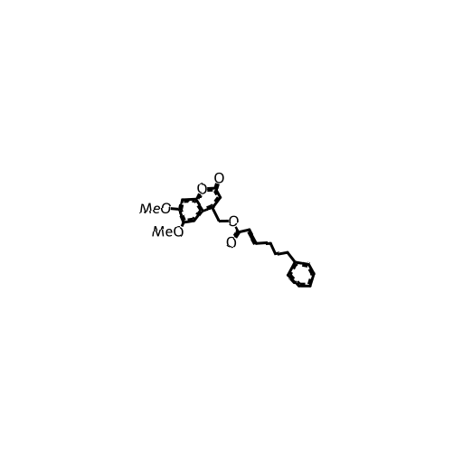 COc1cc2oc(=O)cc(COC(=O)C=CCCCc3ccccc3)c2cc1OC